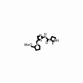 COCC1CCCN1Cc1cnc(NC(=O)[C@H]2CCN[C@H]2C)s1